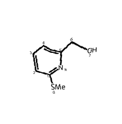 CSc1cccc(CO)n1